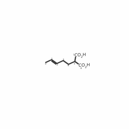 CC=CCCC(C(=O)O)C(=O)O